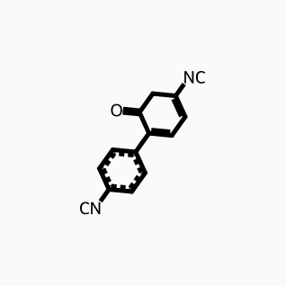 [C-]#[N+]C1=CC=C(c2ccc([N+]#[C-])cc2)C(=O)C1